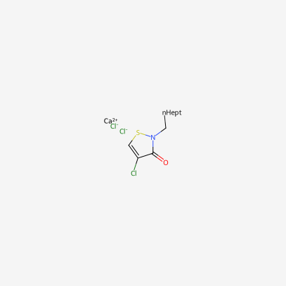 CCCCCCCCn1scc(Cl)c1=O.[Ca+2].[Cl-].[Cl-]